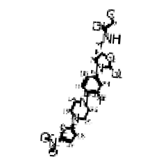 O=C(CCl)NC[C@H]1CN(c2ccc(N3CCN(c4ccc([N+](=O)[O-])s4)CC3)c(F)c2)C(=O)O1